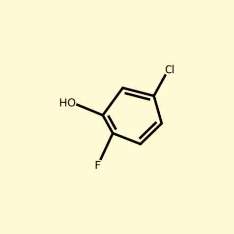 Oc1cc(Cl)ccc1F